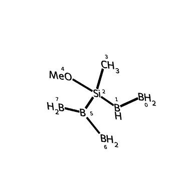 BB[Si](C)(OC)B(B)B